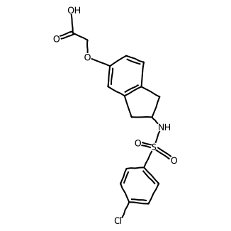 O=C(O)COc1ccc2c(c1)CC(NS(=O)(=O)c1ccc(Cl)cc1)C2